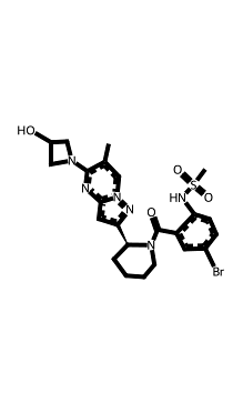 Cc1cn2nc([C@@H]3CCCCN3C(=O)c3cc(Br)ccc3NS(C)(=O)=O)cc2nc1N1CC(O)C1